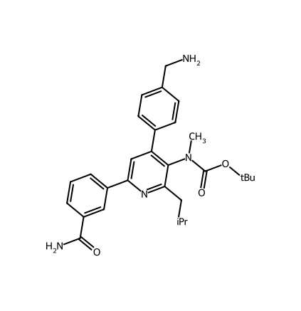 CC(C)Cc1nc(-c2cccc(C(N)=O)c2)cc(-c2ccc(CN)cc2)c1N(C)C(=O)OC(C)(C)C